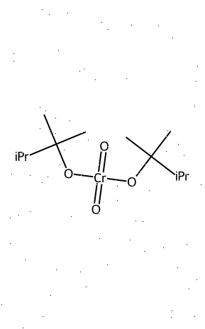 CC(C)C(C)(C)[O][Cr](=[O])(=[O])[O]C(C)(C)C(C)C